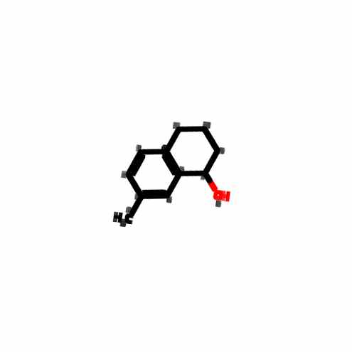 Cc1ccc2c(c1)C(O)CCC2